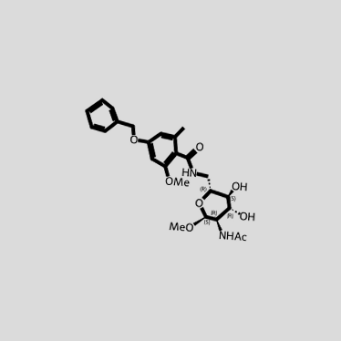 COc1cc(OCc2ccccc2)cc(C)c1C(=O)NC[C@H]1O[C@H](OC)[C@H](NC(C)=O)[C@@H](O)[C@@H]1O